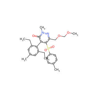 CCc1cc(C)cc(CC)c1-c1c(S(=O)(=O)c2ccc(C)cc2)c(COCOC)nn(C)c1=O